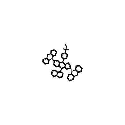 CCC(C)(C)c1ccc(-c2c3cc(N4c5ccccc5Cc5ccccc54)ccc3c(-c3cccc4ccccc34)c3cc(N4c5ccccc5Cc5ccccc54)ccc23)cc1